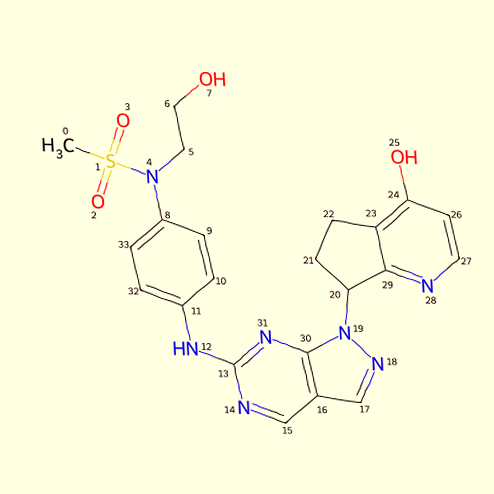 CS(=O)(=O)N(CCO)c1ccc(Nc2ncc3cnn(C4CCc5c(O)ccnc54)c3n2)cc1